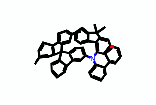 Cc1ccc2c(c1)C1(c3ccccc3-c3cc(N(c4ccccc4-c4ccccc4)c4cccc5c4-c4ccccc4C5(C)C)ccc31)c1cc(C)ccc1-2